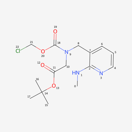 CNc1ncccc1CN(CC(=O)OC(C)(C)C)C(=O)OCCl